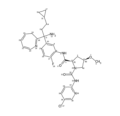 CO[C@@H]1C[C@H](C(=O)Nc2cc(C(N)(CCC3CC3)C3=NC=CC=CC3)ccc2F)N(C(=O)Nc2ccc(Cl)cn2)C1